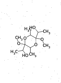 COC1(C(C)O)OC(C)C(OC)(C(C)O)OC1C